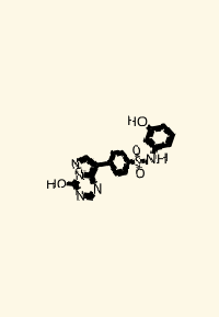 O=S(=O)(Nc1cccc(O)c1)c1ccc(-c2cnn3c(O)ncnc23)cc1